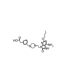 CCCCOc1nc(N)c2[nH]c(=O)n(CCN3CCN(Cc4cccc(CC(=O)O)c4)CC3)c2n1